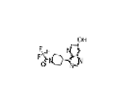 O=C(N1CCC(c2ncnc3cc(O)cnc23)CC1)C(F)(F)F